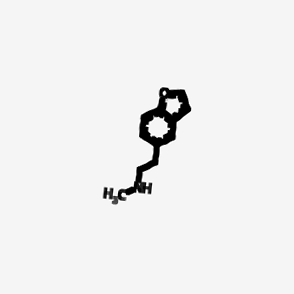 CNCCc1ccc2occc2c1